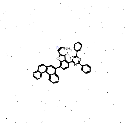 Cc1c(/C=C\N)oc2c(-c3cc4ccc5ccccc5c4c4ccccc34)ccc(-c3nc(-c4ccccc4)nc(-c4ccccc4)n3)c12